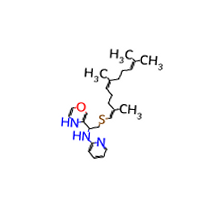 CC(C)=CCCC(C)=CCCC(C)=CSCC(Nc1ccccn1)C1=COC=CN1